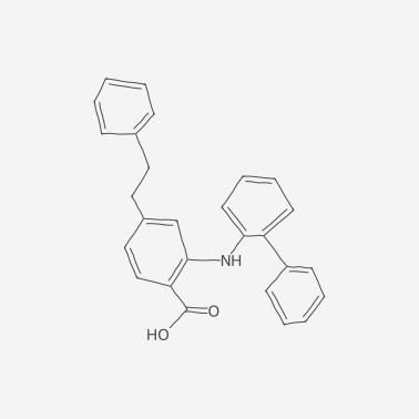 O=C(O)c1ccc(CCc2ccccc2)cc1Nc1ccccc1-c1ccccc1